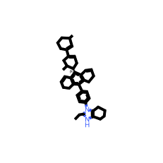 CCC1NC2=C(CCCC2)N1c1ccc(-c2c3c(c([C@@H]4CC=C(C5=CC(C)CCC5)CC4C)c4c2CCC=C4)C=CCC3)cc1